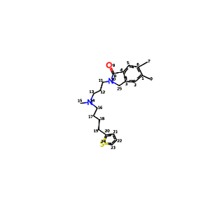 Cc1cc2c(cc1C)C(=O)N(CCCN(C)CCCCc1cccs1)C2